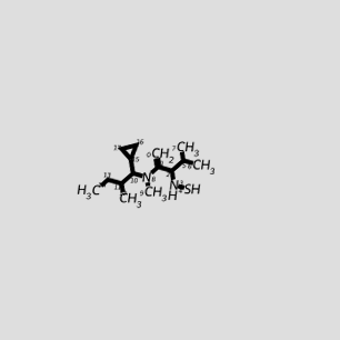 C=C(C(NS)C(C)C)N(C)C(C(C)CC)C1CC1